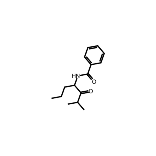 CCCC(NC(=O)c1ccccc1)C(=O)C(C)C